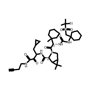 C#CCCNC(=O)C(=O)C(CC1CC1)NC(=O)[C@@H]1C2C(CN1C(=O)[C@@H](NC(=O)NC1(CS(=O)(=O)C(C)(C)CC)CCCCC1)C1(C)CCCCC1)C2(C)C